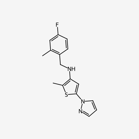 Cc1cc(F)ccc1CNc1cc(-n2cccn2)sc1C